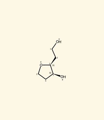 OCC[C@@H]1OCC[C@@H]1O